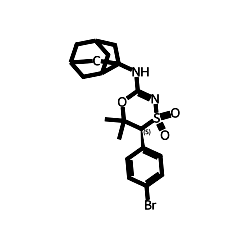 CC1(C)OC(NC23CC4CC(CC2C4)C3)=NS(=O)(=O)[C@H]1c1ccc(Br)cc1